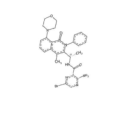 Cc1c([C@H](C)NC(=O)c2nc(Br)cnc2N)n(-c2ccccc2)c(=O)c2c(N3CCOCC3)cccc12